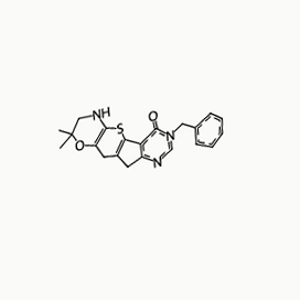 CC1(C)CNC2=C(CC3=C(S2)c2c(ncn(Cc4ccccc4)c2=O)C3)O1